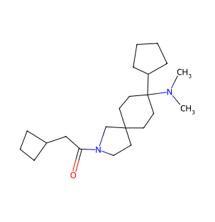 CN(C)C1(C2CCCC2)CCC2(CCN(C(=O)CC3CCC3)C2)CC1